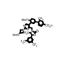 COc1ccc(-c2ccc(C(=O)O)cc2C)cc1-c1cnc(N2CC(OC)C2)nc1CN1C(=O)OC(c2cc(C(F)(F)F)cc(C(F)(F)F)c2)C1C